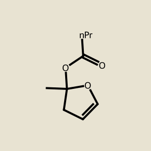 CCCC(=O)OC1(C)CC=CO1